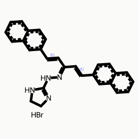 Br.C(=C\c1ccc2ccccc2c1)/C(/C=C/c1ccc2ccccc2c1)=NNC1=NCCN1